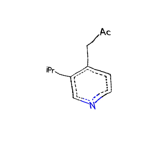 CC(=O)Cc1ccncc1C(C)C